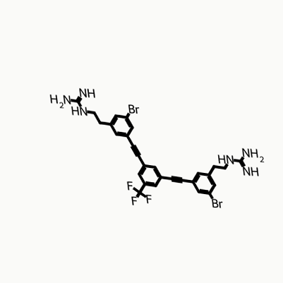 N=C(N)NCCc1cc(Br)cc(C#Cc2cc(C#Cc3cc(Br)cc(CCNC(=N)N)c3)cc(C(F)(F)F)c2)c1